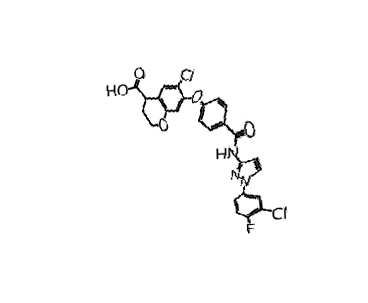 O=C(Nc1ccn(-c2ccc(F)c(Cl)c2)n1)c1ccc(Oc2cc3c(cc2Cl)C(C(=O)O)CCO3)cc1